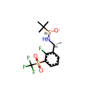 C[C@@H](N[S@@+]([O-])C(C)(C)C)c1cccc(S(=O)(=O)C(F)(F)F)c1F